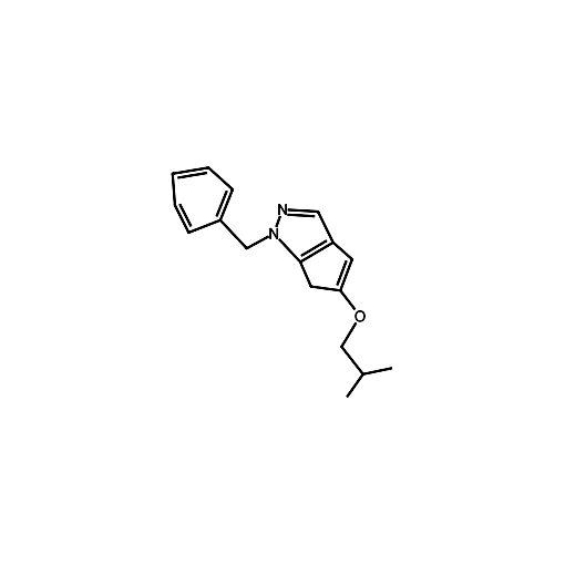 CC(C)COC1=Cc2cnn(Cc3ccccc3)c2C1